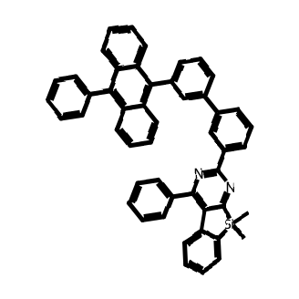 C[Si]1(C)c2ccccc2-c2c(-c3ccccc3)nc(-c3cccc(-c4cccc(-c5c6ccccc6c(-c6ccccc6)c6ccccc56)c4)c3)nc21